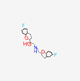 OC(CNCCC1CCc2cc(F)ccc2O1)C1CCc2cc(F)ccc2O1